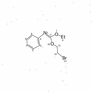 CCOC(=Nc1ccccc1)OCCBr